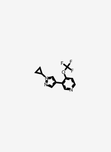 FC(F)(F)Oc1ccncc1-c1cnn(C2CC2)c1